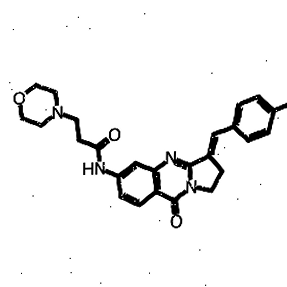 Cc1ccc(C=C2CCn3c2nc2cc(NC(=O)CCN4CCOCC4)ccc2c3=O)cc1